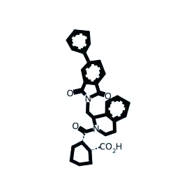 O=C(O)[C@@H]1CCCC[C@@H]1C(=O)N1CCc2ccccc2C1CN1C(=O)c2ccc(-c3ccccc3)cc2C1=O